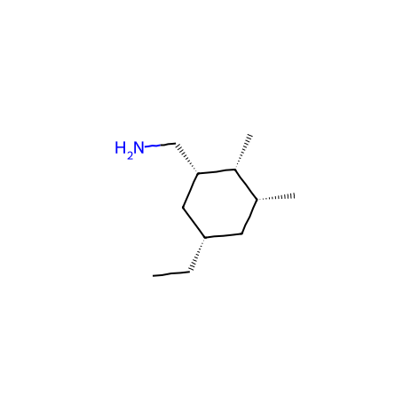 CC[C@@H]1C[C@H](CN)[C@H](C)[C@H](C)C1